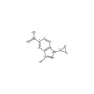 O=[N+]([O-])c1ccc2c(c1)c(F)nn2C1CC1